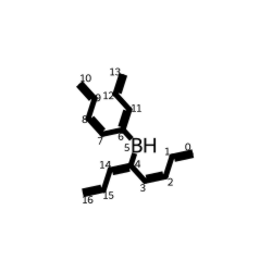 C=C/C=C\C(BC(/C=C\C=C)=C/C=C)=C/C=C